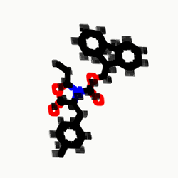 CCC1OC(=O)[C@H](Cc2ccc(C)cc2)N1C(=O)OCC1c2ccccc2-c2ccccc21